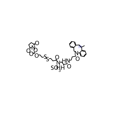 C/C1=C/c2ccccc2CN(C(=O)CCNC(=O)C(CNC(=O)CCSSCCOC(=O)ON2C(=O)CCC2=O)S(=O)(=O)O)c2ccccc21